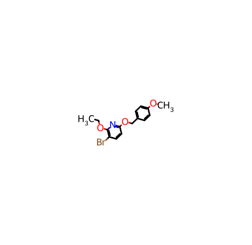 CCOc1nc(OCc2ccc(OC)cc2)ccc1Br